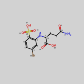 NC(=O)CC[C@H](Nc1cc(Br)ccc1S(=O)(=O)O)C(=O)O